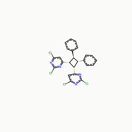 Clc1cc([C@@H]2[C@@H](c3ccccc3)[C@H](c3ccccc3)[C@@H]2c2cc(Cl)nc(Cl)n2)nc(Cl)n1